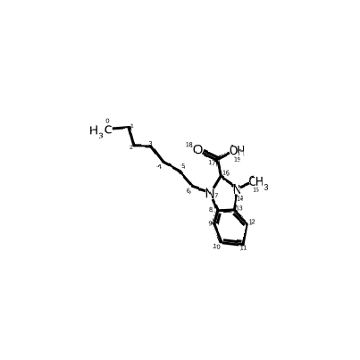 CCCCCCCN1c2ccccc2N(C)C1C(=O)O